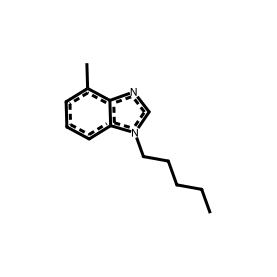 CCCCCn1cnc2c(C)cccc21